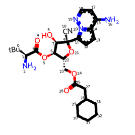 CC(C)(C)[C@H](N)C(=O)O[C@H]1[C@@H](O)[C@](C#N)(c2ccc3c(N)ccnn23)O[C@@H]1COC(=O)CC1CCCCC1